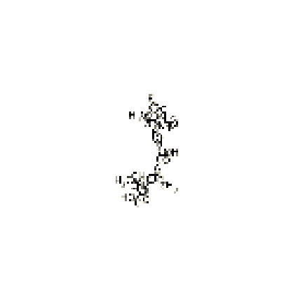 COC(=O)C1=C(CN2CCN(CCC(CCCOc3cc4c(cc3OC)-c3cc(=O)c(C(=O)O)cn3C(C(C)(C)C)C4)C(=O)O)CC2)NC(c2nccs2)=N[C@H]1c1ccc(F)cc1Cl